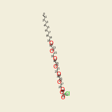 C=CCCCCCCCCCOCCOCCOCCOCCOCCOCCOOC(=O)Cl